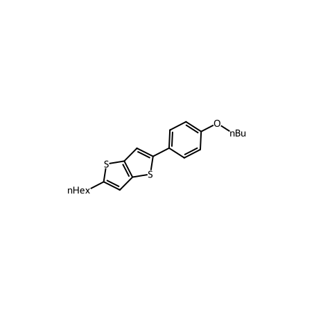 CCCCCCc1cc2sc(-c3ccc(OCCCC)cc3)cc2s1